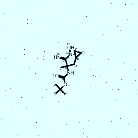 CC(C)(C)OC(=O)NC(C)(CC1CC1)C(=N)NO